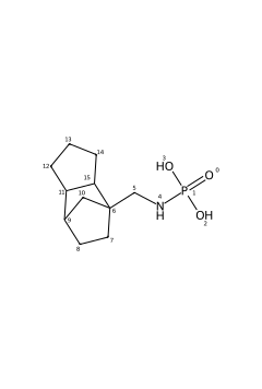 O=P(O)(O)NCC12CCC(C1)C1CCCC12